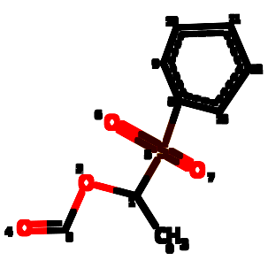 CC(OC=O)S(=O)(=O)c1ccccc1